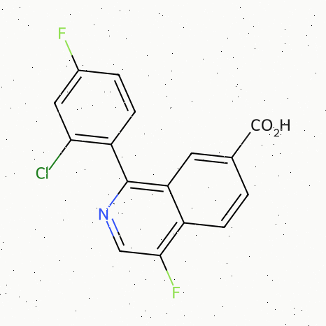 O=C(O)c1ccc2c(F)cnc(-c3ccc(F)cc3Cl)c2c1